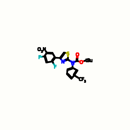 CC(C)(C)OC(=O)N(c1cccc(C(F)(F)F)c1)c1nc(-c2cc([N+](=O)[O-])c(F)cc2F)cs1